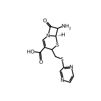 NC1C(=O)N2C=C(C(=O)O)C(CSc3cnccn3)S[C@H]12